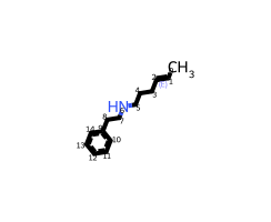 C/C=C/CCCNCCc1ccccc1